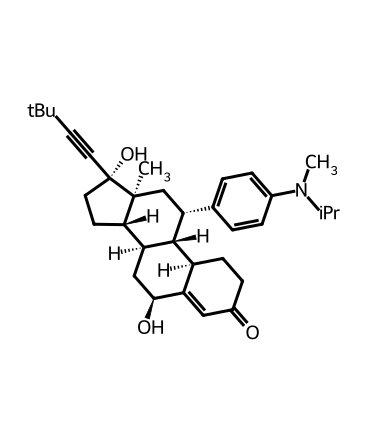 CC(C)N(C)c1ccc([C@H]2C[C@@]3(C)[C@@H](CC[C@@]3(O)C#CC(C)(C)C)[C@@H]3C[C@H](O)C4=CC(=O)CC[C@@H]4[C@H]32)cc1